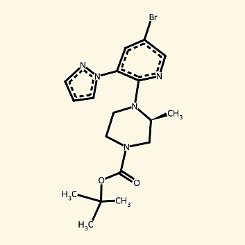 C[C@H]1CN(C(=O)OC(C)(C)C)CCN1c1ncc(Br)cc1-n1cccn1